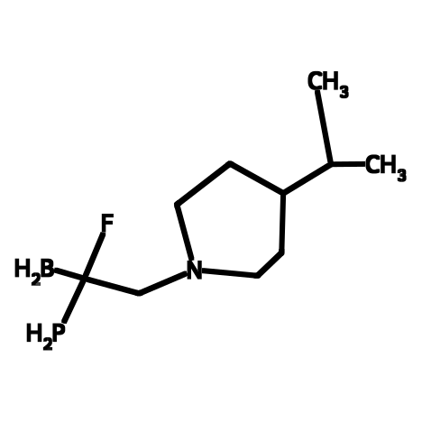 BC(F)(P)CN1CCC(C(C)C)CC1